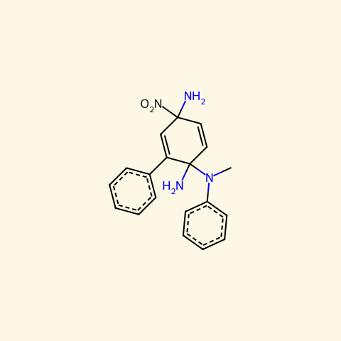 CN(c1ccccc1)C1(N)C=CC(N)([N+](=O)[O-])C=C1c1ccccc1